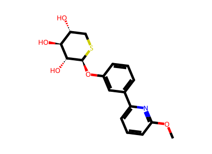 COc1cccc(-c2cccc(O[C@@H]3SC[C@@H](O)[C@H](O)[C@H]3O)c2)n1